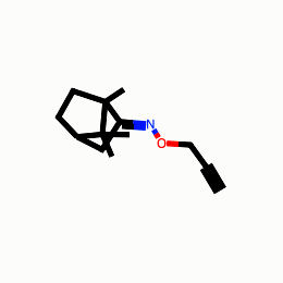 C#CCON=C1CC2CCC1(C)C2(C)C